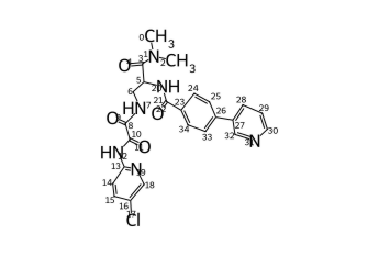 CN(C)C(=O)C(CNC(=O)C(=O)Nc1ccc(Cl)cn1)NC(=O)c1ccc(-c2cccnc2)cc1